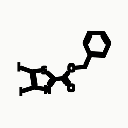 O=C(OCc1ccccc1)c1nc(I)c(I)s1